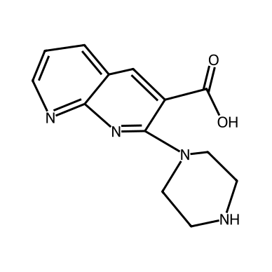 O=C(O)c1cc2cccnc2nc1N1CCNCC1